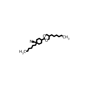 CCCCCCC1COC(C2CCC(C#N)(CCCCCC)CC2)OC1